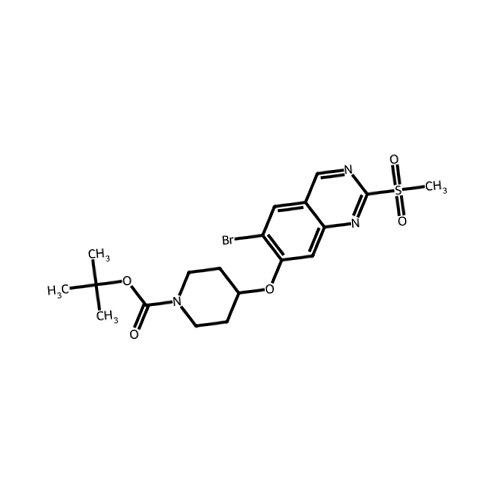 CC(C)(C)OC(=O)N1CCC(Oc2cc3nc(S(C)(=O)=O)ncc3cc2Br)CC1